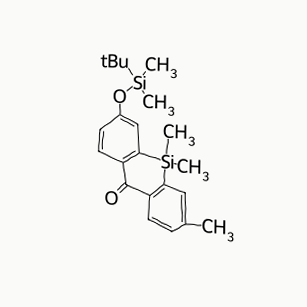 Cc1ccc2c(c1)[Si](C)(C)c1cc(O[Si](C)(C)C(C)(C)C)ccc1C2=O